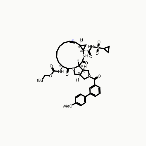 COc1ccc(-c2cccc(C(=O)N3C[C@H]4CN5C(=O)[C@@H](NC(=O)OCC(C)(C)C)CCCCC/C=C\[C@H]6C[C@@]6(C(=O)NS(=O)(=O)C6CC6)NC(=O)[C@@H]5[C@H]4C3)c2)cc1